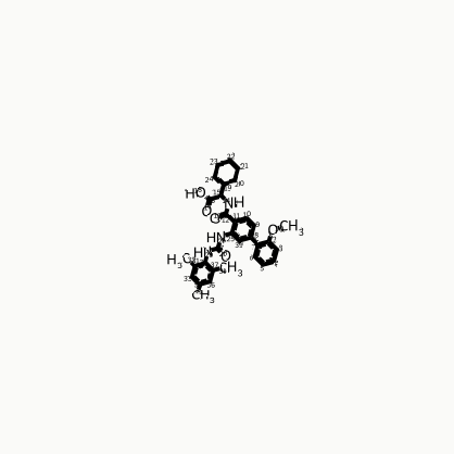 COc1ccccc1-c1ccc(C(=O)NC(C(=O)O)C2CCCCC2)c(NC(=O)Nc2c(C)cc(C)cc2C)c1